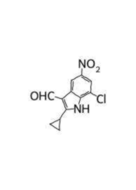 O=Cc1c(C2CC2)[nH]c2c(Cl)cc([N+](=O)[O-])cc12